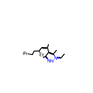 C\C=N/C(C)=C(C(C)=N)/C(C)=C\C(CC)CCC(C)C